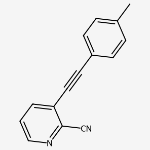 Cc1ccc(C#Cc2cccnc2C#N)cc1